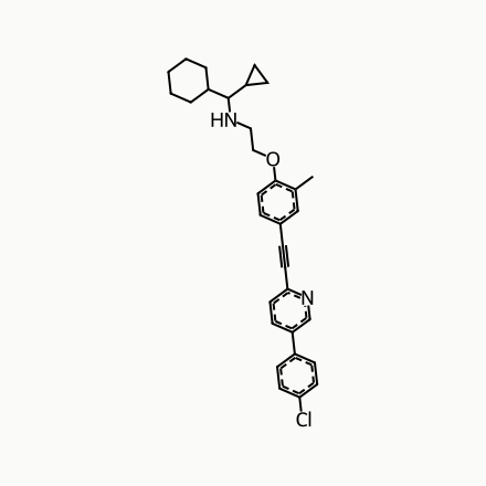 Cc1cc(C#Cc2ccc(-c3ccc(Cl)cc3)cn2)ccc1OCCNC(C1CCCCC1)C1CC1